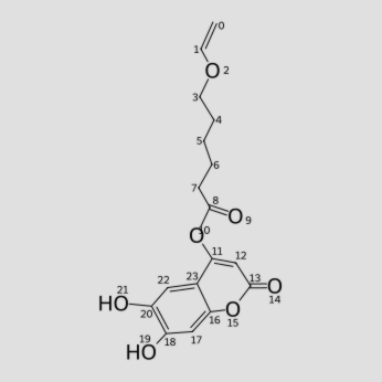 C=COCCCCCC(=O)Oc1cc(=O)oc2cc(O)c(O)cc12